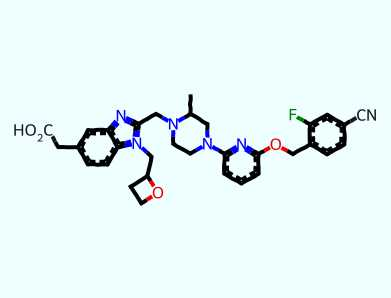 CC1CN(c2cccc(OCc3ccc(C#N)cc3F)n2)CCN1Cc1nc2cc(CC(=O)O)ccc2n1CC1CCO1